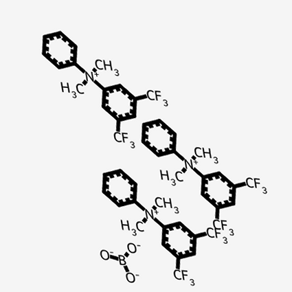 C[N+](C)(c1ccccc1)c1cc(C(F)(F)F)cc(C(F)(F)F)c1.C[N+](C)(c1ccccc1)c1cc(C(F)(F)F)cc(C(F)(F)F)c1.C[N+](C)(c1ccccc1)c1cc(C(F)(F)F)cc(C(F)(F)F)c1.[O-]B([O-])[O-]